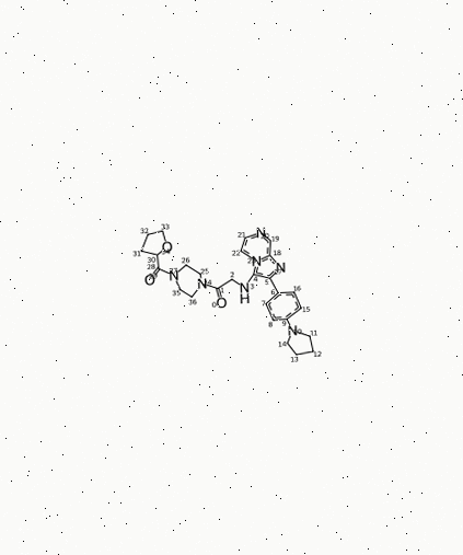 O=C(CNc1c(-c2ccc(N3CCCC3)cc2)nc2cnccn12)N1CCN(C(=O)C2CCCO2)CC1